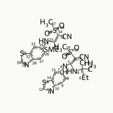 CCC(C)(C)N/C(Nc1ccc2ncsc2c1)=C(\C#N)S(C)(=O)=O.CS/C(Nc1ccc2ncsc2c1)=C(\C#N)S(C)(=O)=O